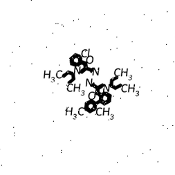 CCCC(CCC)n1cc(C#N)c(=O)c2c(-c3ccc(C)cc3C)cccc21.CCCC(CCC)n1cc(C#N)c(=O)c2c(Cl)cccc21